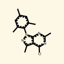 Cc1cc(C)c(-n2nc(C)c3c(Cl)nc(C)nc32)c(C)c1